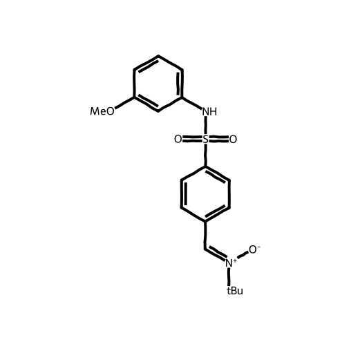 COc1cccc(NS(=O)(=O)c2ccc(/C=[N+](\[O-])C(C)(C)C)cc2)c1